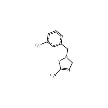 NC1=NCN(Cc2cccc(C(F)(F)F)c2)S1